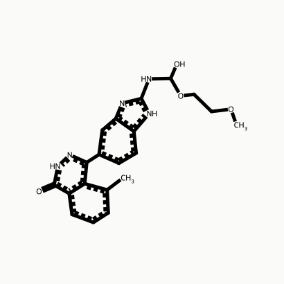 COCCOC(O)Nc1nc2cc(-c3n[nH]c(=O)c4cccc(C)c34)ccc2[nH]1